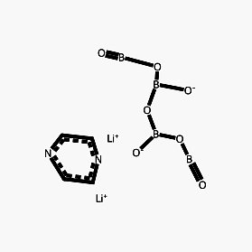 O=BOB([O-])OB([O-])OB=O.[Li+].[Li+].c1cnccn1